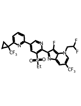 CCS(=O)(=O)c1cc(-c2cccc(C3(C(F)(F)F)CC3)n2)cnc1-c1nc2cc(C(F)(F)F)cn(CC(F)F)c-2c1F